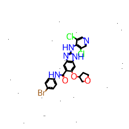 O=C(Nc1ccc(Br)cc1)c1cc2nc(Nc3c(Cl)cncc3Cl)[nH]c2cc1OC1CCOC1